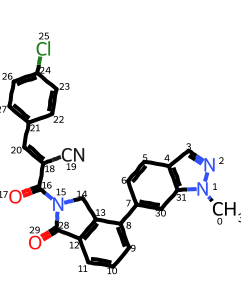 Cn1ncc2ccc(-c3cccc4c3CN(C(=O)/C(C#N)=C/c3ccc(Cl)cc3)C4=O)cc21